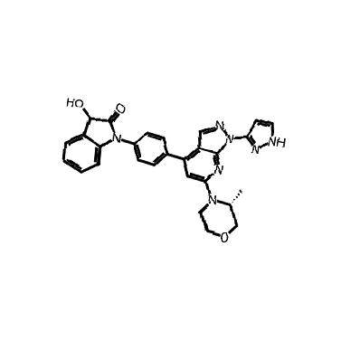 C[C@@H]1COCCN1c1cc(-c2ccc(N3C(=O)C(O)c4ccccc43)cc2)c2cnn(-c3cc[nH]n3)c2n1